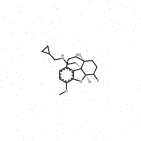 COc1ccc2c3c1O[C@@H]1C(F)CC[C@](O)(CC2)[C@]31CCNCC1CC1